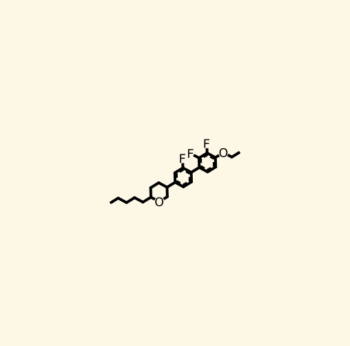 CCCCCC1CCC(c2ccc(-c3ccc(OCC)c(F)c3F)c(F)c2)CO1